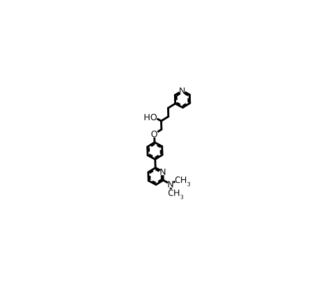 CN(C)c1cccc(-c2ccc(OCC(O)CCc3cccnc3)cc2)n1